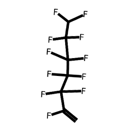 C=C(F)C(F)(F)C(F)(F)C(F)(F)C(F)(F)C(F)F